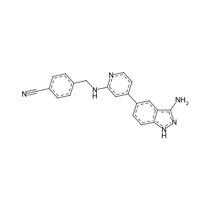 N#Cc1ccc(CNc2cc(-c3ccc4[nH]nc(N)c4c3)ccn2)cc1